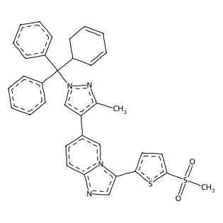 Cc1nn(C(c2ccccc2)(c2ccccc2)C2C=CC=CC2)cc1-c1ccc2ncc(-c3ccc(S(C)(=O)=O)s3)n2c1